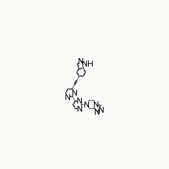 C(#Cc1ccnc(-c2ccnc(N3CCn4cnnc4C3)n2)n1)c1ccc2[nH]ncc2c1